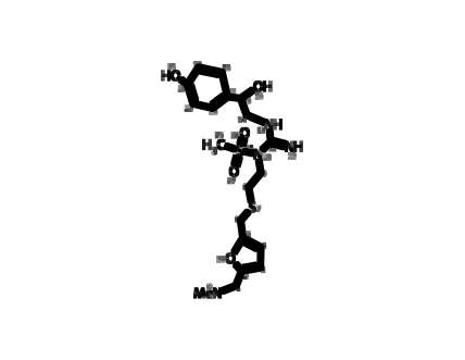 CNCc1ccc(CSCCN(C(=N)NCC(O)c2ccc(O)cc2)S(C)(=O)=O)o1